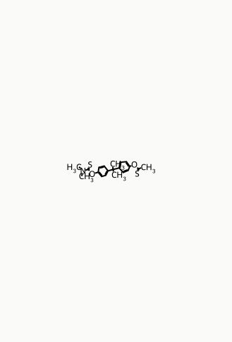 CC(=S)Oc1ccc(C(C)(C)c2ccc(OC(=S)N(C)C)cc2)cc1